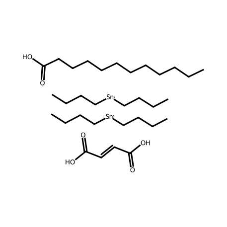 CCCCCCCCCCCC(=O)O.CCC[CH2][Sn][CH2]CCC.CCC[CH2][Sn][CH2]CCC.O=C(O)C=CC(=O)O